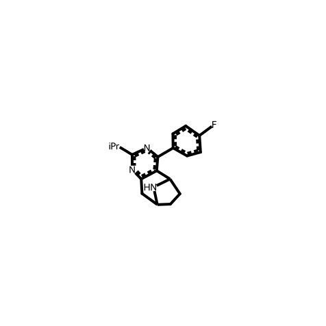 CC(C)c1nc2c(c(-c3ccc(F)cc3)n1)C1CCC(C2)N1